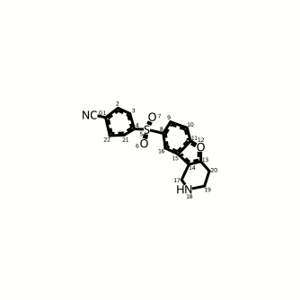 N#Cc1ccc(S(=O)(=O)c2ccc3oc4c(c3c2)CNCC4)cc1